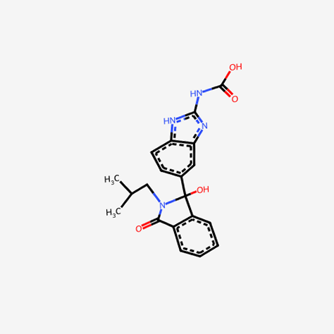 CC(C)CN1C(=O)c2ccccc2C1(O)c1ccc2[nH]c(NC(=O)O)nc2c1